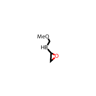 COCBC1CO1